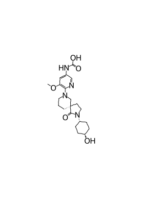 COc1cc(NC(=O)O)cnc1N1CCC[C@@]2(CCN([C@H]3CC[C@H](O)CC3)C2=O)C1